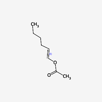 CCCC/C=C/OC(C)=O